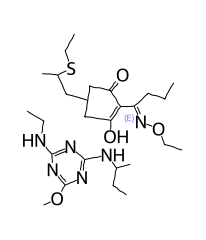 CCC/C(=N\OCC)C1=C(O)CC(CC(C)SCC)CC1=O.CCNc1nc(NC(C)CC)nc(OC)n1